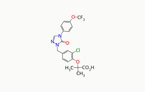 CC(C)(Oc1ccc(Cn2ncn(-c3ccc(OC(F)(F)F)cc3)c2=O)cc1Cl)C(=O)O